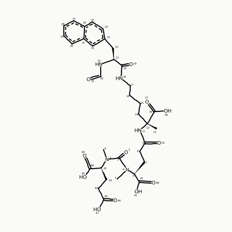 CN(C(=O)N(C)[C@@H](CCC(=O)N[C@](C)(CCCCNC(=O)[C@H](Cc1ccc2ccccc2c1)NC=O)C(=O)O)C(=O)O)[C@@H](CCC(=O)O)C(=O)O